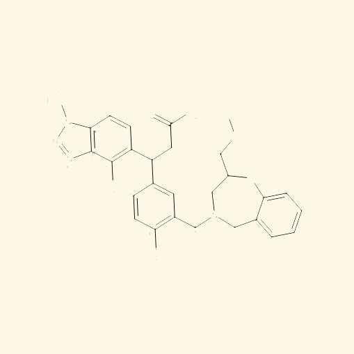 COCC1CN(Cc2cc(C(CC(=O)O)c3ccc4c(nnn4C)c3C)ccc2C)Cc2ccccc2O1